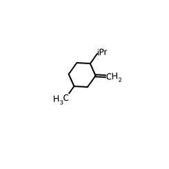 C=C1CC(C)CCC1C(C)C